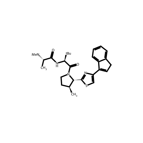 CN[C@@H](C)C(=O)N[C@H](C(=O)N1CC[C@H](C)[C@H]1c1nc(C2=CCc3ccccc32)cs1)C(C)(C)C